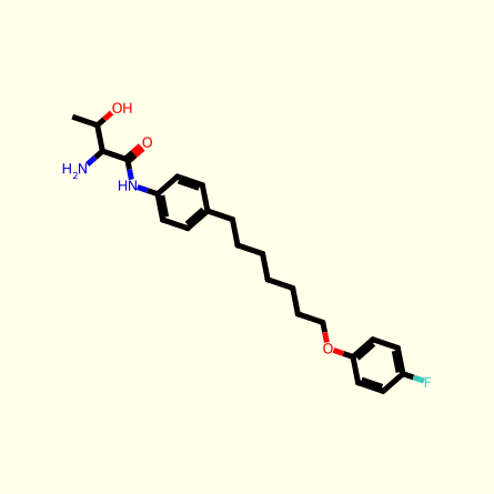 CC(O)C(N)C(=O)Nc1ccc(CCCCCCCOc2ccc(F)cc2)cc1